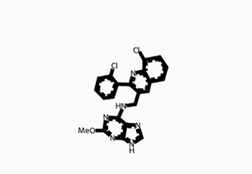 COc1nc(NCc2cc3cccc(Cl)c3nc2-c2ccccc2Cl)c2nc[nH]c2n1